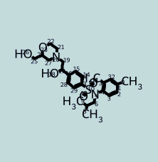 Cc1ccc(N(CC(C)C)S(=O)(=O)c2ccc(C(O)CN3CCOC(CO)C3)cc2)c(C)c1